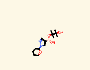 CC(C)(O)C(C)(C)OB(O)c1cnn(C2CCCCO2)c1